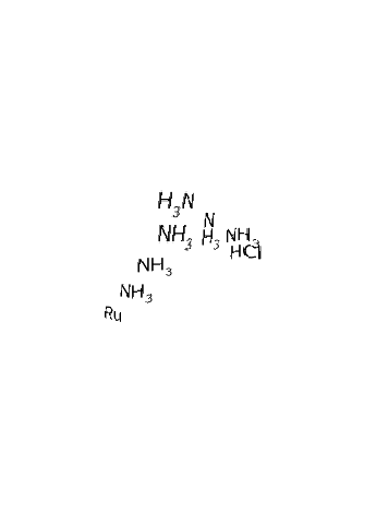 Cl.N.N.N.N.N.N.[Ru]